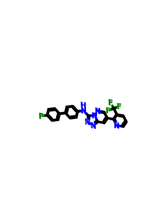 Fc1ccc(-c2ccc(Nc3nnc4cc(-c5ncccc5C(F)(F)F)cnn34)cc2)cc1